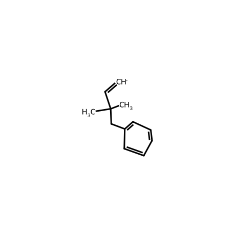 [CH]=CC(C)(C)Cc1ccccc1